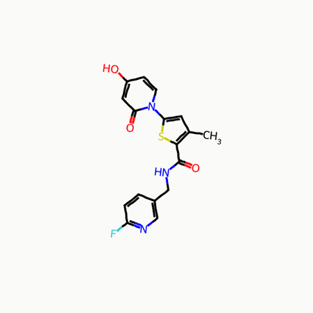 Cc1cc(-n2ccc(O)cc2=O)sc1C(=O)NCc1ccc(F)nc1